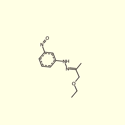 CCOC/C(C)=N/Nc1cccc(N=O)c1